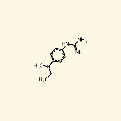 CCN(C)c1ccc(NC(=N)N)cc1